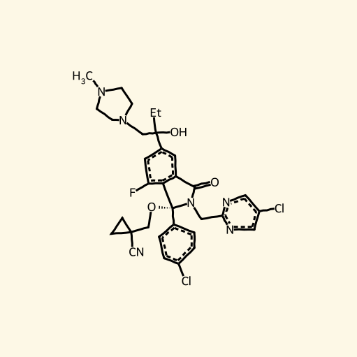 CCC(O)(CN1CCN(C)CC1)c1cc(F)c2c(c1)C(=O)N(Cc1ncc(Cl)cn1)[C@@]2(OCC1(C#N)CC1)c1ccc(Cl)cc1